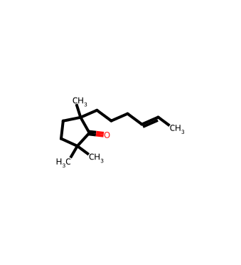 C/C=C/CCCC1(C)CCC(C)(C)C1=O